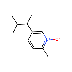 Cc1ccc(C(C)C(C)C)c[n+]1[O-]